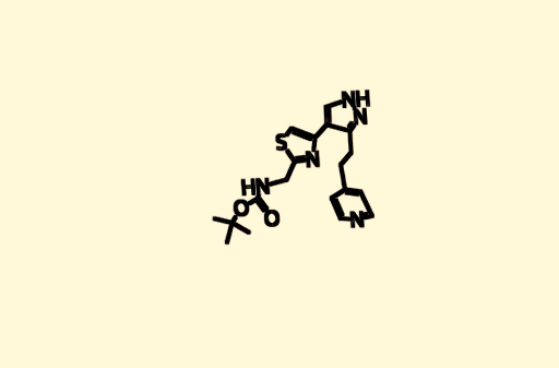 CC(C)(C)OC(=O)NCc1nc(-c2c[nH]nc2CCc2ccncc2)cs1